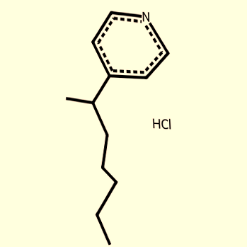 CCCCCC(C)c1ccncc1.Cl